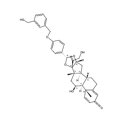 C[C@]12C=CC(=O)C=C1CC[C@@H]1[C@@H]2[C@@H](O)C[C@@]2(C)[C@H]1C[C@H]1O[C@@H](c3ccc(OCc4cccc(CO)c4)cc3)O[C@]12C(=O)CO